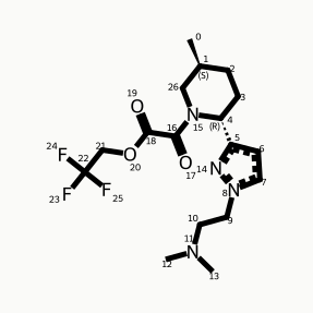 C[C@H]1CC[C@H](c2ccn(CCN(C)C)n2)N(C(=O)C(=O)OCC(F)(F)F)C1